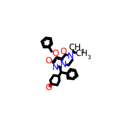 CC(C)N1CCn2c(C(c3ccccc3)C3CCC(=O)CC3)nc(=O)c(OCc3ccccc3)c2C1=O